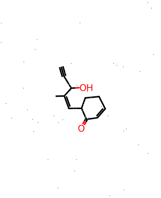 C#CC(O)C(C)=CC1CCC=CC1=O